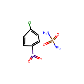 NS(N)(=O)=O.O=I(=O)c1ccc(Cl)cc1